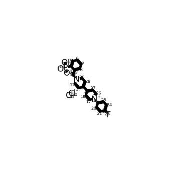 O=P(O)(O)c1ccccc1C[n+]1ccc(-c2cc[n+](-c3ccc(F)cc3)cc2)cc1.[Cl-].[Cl-]